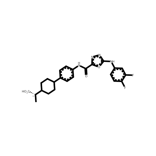 C[C@H](C(=O)O)C1CCC(c2ccc(NC(=O)c3nnc(Nc4ccc(F)c(F)c4)o3)cc2)CC1